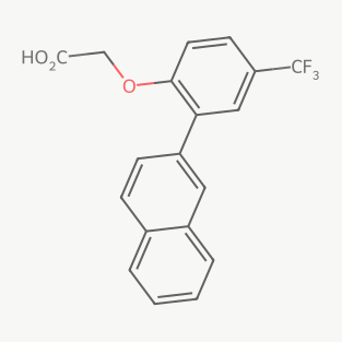 O=C(O)COc1ccc(C(F)(F)F)cc1-c1ccc2ccccc2c1